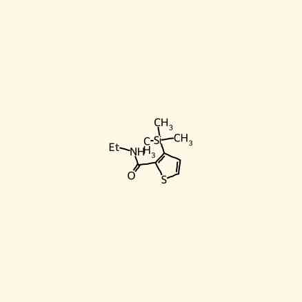 CCNC(=O)c1sccc1[Si](C)(C)C